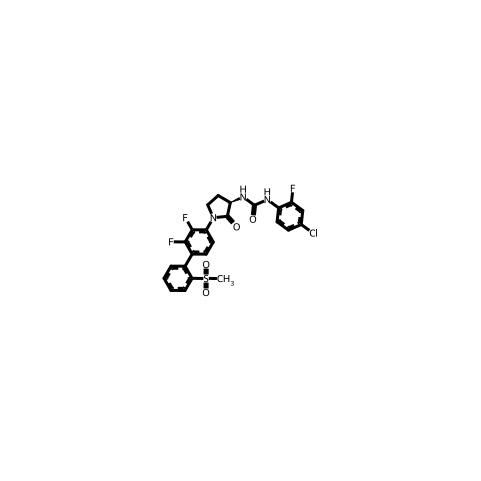 CS(=O)(=O)c1ccccc1-c1ccc(N2CC[C@@H](NC(=O)Nc3ccc(Cl)cc3F)C2=O)c(F)c1F